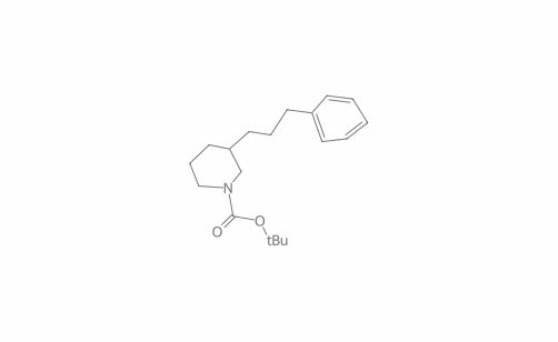 CC(C)(C)OC(=O)N1CCCC(CCCc2ccccc2)C1